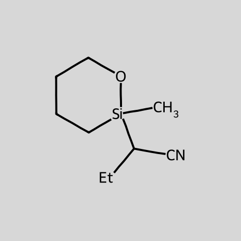 CCC(C#N)[Si]1(C)CCCCO1